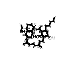 CCCCCc1cc(O)c(C/C=C(\C)CCC=C(C)C)c(O)c1C(=O)O[C@@]1(C)CC[C@@H](C(C)C)[C@@H]2C=C(C)CC[C@H]21